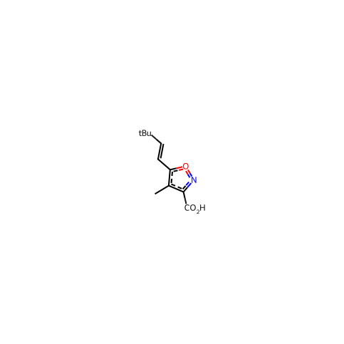 Cc1c(C(=O)O)noc1C=CC(C)(C)C